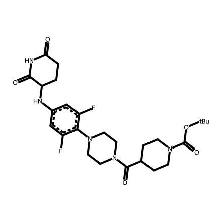 CC(C)(C)OC(=O)N1CCC(C(=O)N2CCN(c3c(F)cc(NC4CCC(=O)NC4=O)cc3F)CC2)CC1